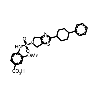 COc1cc(C(=O)O)ccc1NS(=O)(=O)N1Cc2nc(C3CCC(c4ccccc4)CC3)sc2C1